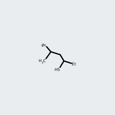 [CH2]CC(S)CC(C)C(C)C